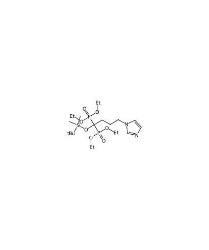 CCOP(=O)(OCC)C(CCCn1ccnc1)(O[Si](C)(C)C(C)(C)C)P(=O)(OCC)OCC